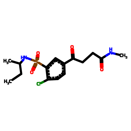 CCC(C)NS(=O)(=O)c1cc(C(=O)CCC(=O)NC)ccc1Cl